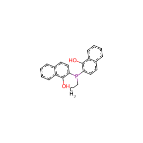 CCP(c1ccc2ccccc2c1O)c1ccc2ccccc2c1O